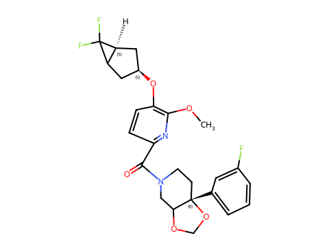 COc1nc(C(=O)N2CC[C@]3(c4cccc(F)c4)OCOC3C2)ccc1O[C@H]1CC2[C@H](C1)C2(F)F